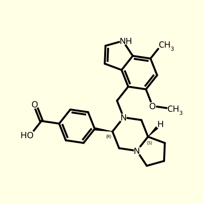 COc1cc(C)c2[nH]ccc2c1CN1C[C@@H]2CCCN2C[C@H]1c1ccc(C(=O)O)cc1